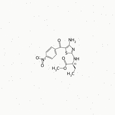 CC[C@H](Nc1nc(N)c(C(=O)c2ccc([N+](=O)[O-])cc2)s1)C(=O)OC